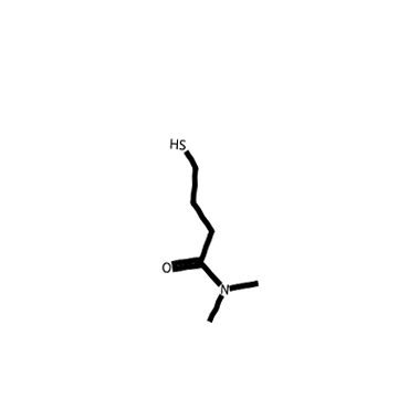 CN(C)C(=O)CCCS